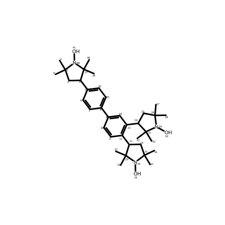 CC1(C)CC(c2ccc(-c3ccc(C4CC(C)(C)N(O)C4(C)C)c(C4CC(C)(C)N(O)C4(C)C)c3)cc2)C(C)(C)N1O